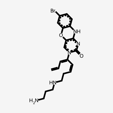 C=C/C=C(\C=C/CCNCCCN)n1cc2c(nc1=O)Nc1ccc(Br)cc1O2